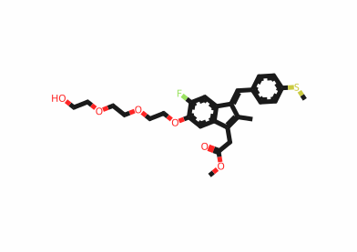 COC(=O)CC1=C(C)C(=Cc2ccc(SC)cc2)c2cc(F)c(OCCOCCOCCO)cc21